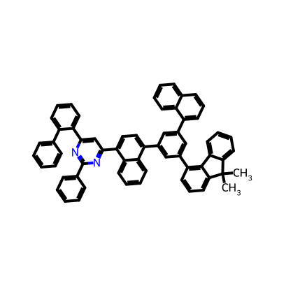 CC1(C)c2ccccc2-c2c(-c3cc(-c4cccc5ccccc45)cc(-c4ccc(-c5cc(-c6ccccc6-c6ccccc6)nc(-c6ccccc6)n5)c5ccccc45)c3)cccc21